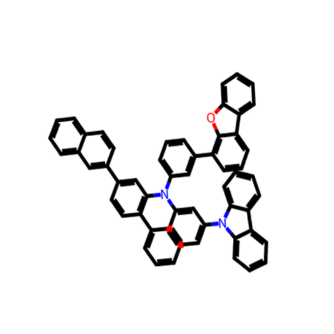 c1ccc(-c2ccc(-c3ccc4ccccc4c3)cc2N(c2cccc(-c3cccc4c3oc3ccccc34)c2)c2cccc(-n3c4ccccc4c4ccccc43)c2)cc1